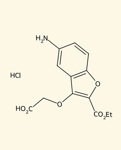 CCOC(=O)c1oc2ccc(N)cc2c1OCC(=O)O.Cl